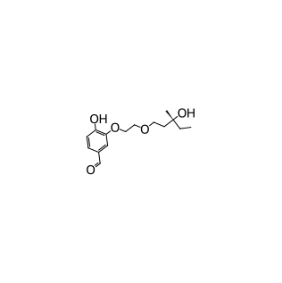 CC[C@@](C)(O)CCOCCOc1cc(C=O)ccc1O